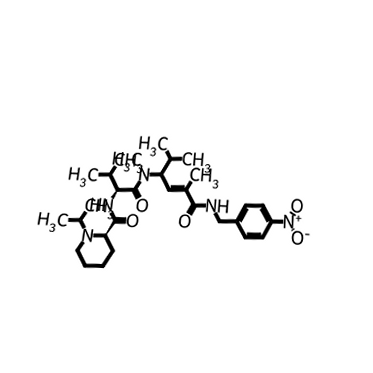 C/C(=C\C(C(C)C)N(C)C(=O)[C@@H](NC(=O)[C@H]1CCCCN1C(C)C)C(C)C)C(=O)NCc1ccc([N+](=O)[O-])cc1